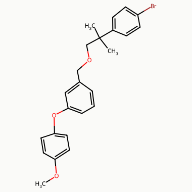 COc1ccc(Oc2cccc(COCC(C)(C)c3ccc(Br)cc3)c2)cc1